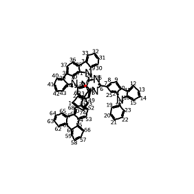 c1ccc(-c2nc(-c3ccc4c5ccccc5n(-c5ccccc5)c4c3)nc(-n3c4ccccc4c4ccc5c6ccccc6n(-c6cccc(-c7ccc8c9ccccc9c9ccccc9c8c7)c6)c5c43)n2)cc1